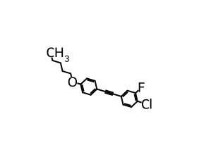 CCCCCOc1ccc(C#Cc2ccc(Cl)c(F)c2)cc1